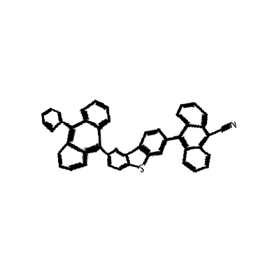 N#Cc1c2ccccc2c(-c2ccc3c(c2)sc2ccc(-c4c5ccccc5c(-c5ccccc5)c5ccccc45)cc23)c2ccccc12